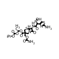 CC(C)OC(=O)OC(C)OC(=O)C1(COC(N)=O)CS[C@@H]2C(NC(=O)C(=NO)c3csc(N)n3)C(=O)N2C1